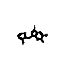 Cc1nc2c(cc1F)c(I)nn2Cc1ncccc1F